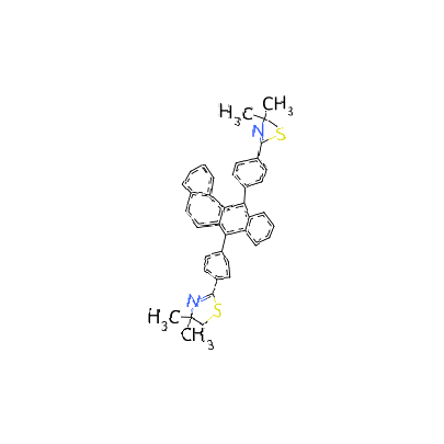 CC1(C)CSC(c2ccc(-c3c4ccccc4c(-c4ccc(C5=NC(C)(C)CS5)cc4)c4c3ccc3ccccc34)cc2)=N1